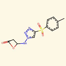 Cc1ccc(S(=O)(=O)c2cn(NC3CC(=O)O3)nn2)cc1